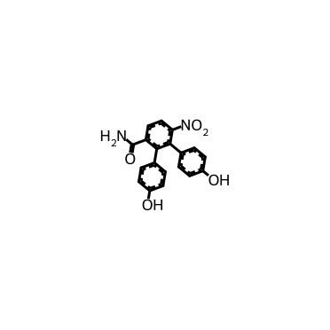 NC(=O)c1ccc([N+](=O)[O-])c(-c2ccc(O)cc2)c1-c1ccc(O)cc1